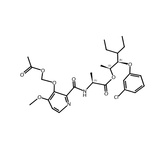 CCC(CC)[C@@H](Oc1cccc(Cl)c1)[C@H](C)OC(=O)[C@H](C)NC(=O)c1nccc(OC)c1OCOC(C)=O